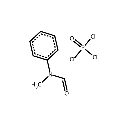 CN(C=O)c1ccccc1.O=P(Cl)(Cl)Cl